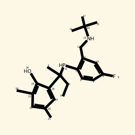 CCC(C)(Pc1ccc(F)cc1CNC(C)(C)C)c1cc(C)cc(C)c1O